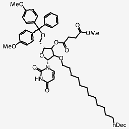 CCCCCCCCCCCCCCCCCCCCCCOC1C(OC(=O)CCC(=O)OC)[C@@H](COC(c2ccccc2)(c2ccc(OC)cc2)c2ccc(OC)cc2)O[C@H]1n1ccc(=O)[nH]c1=O